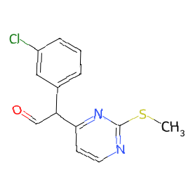 CSc1nccc(C(C=O)c2cccc(Cl)c2)n1